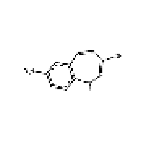 O=[N+]([O-])c1ccc2c(c1)C=CC(O)=NN2